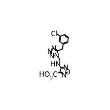 O=C(O)c1nonc1NCn1nnnc1Cc1cccc(Cl)c1